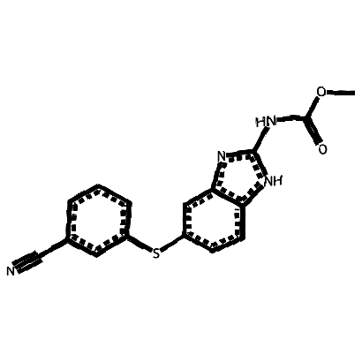 COC(=O)Nc1nc2cc(Sc3cccc(C#N)c3)ccc2[nH]1